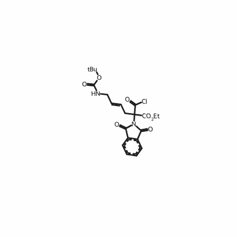 CCOC(=O)C(CC=CCNC(=O)OC(C)(C)C)(C(=O)Cl)N1C(=O)c2ccccc2C1=O